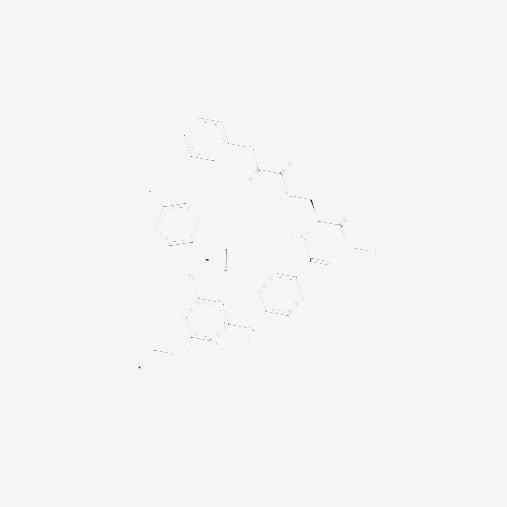 COC(=O)[C@H](CNC(=O)C(=O)Nc1cccc(C)c1)NC(=O)c1ccc(Nc2nc(NC3(c4ccc(Cl)cc4)CC3)nc(OCC(F)(F)F)n2)cc1